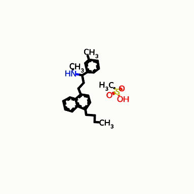 CCCCc1ccc(CCC(NC)c2cccc(C)c2)c2ccccc12.CS(=O)(=O)O